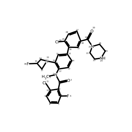 CN(C(=O)c1c(F)cccc1Cl)c1ccc(-c2cc(C(=O)N3CCNCC3)ccc2Cl)cc1N1CC(F)C1